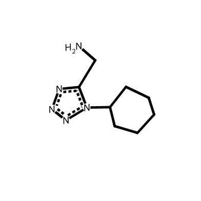 NCc1nnnn1C1CCCCC1